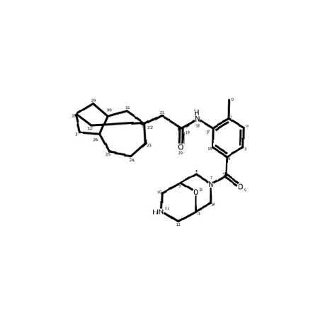 Cc1ccc(C(=O)N2CC3CNCC(C2)O3)cc1NC(=O)CC12CCCC3CC(CC3C1)C2